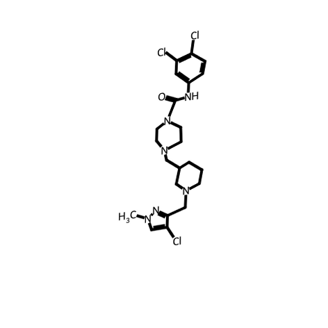 Cn1cc(Cl)c(CN2CCCC(CN3CCN(C(=O)Nc4ccc(Cl)c(Cl)c4)CC3)C2)n1